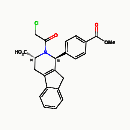 COC(=O)c1ccc([C@H]2C3=C(C[C@H](C(=O)O)N2C(=O)CCl)c2ccccc2C3)cc1